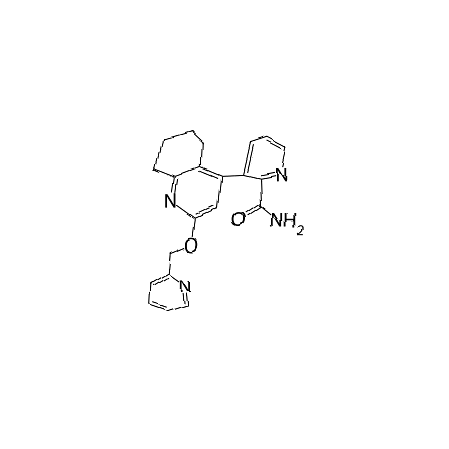 NC(=O)c1ncccc1-c1cc(OCc2ccccn2)nc2c1CCCC2